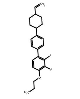 C=CC1CCC(c2ccc(-c3ccc(OCCC)c(F)c3F)cc2)CC1